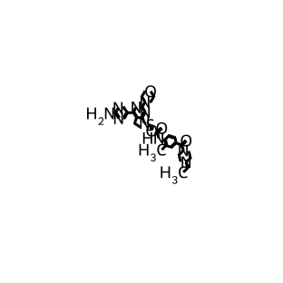 CCN1CCN(C(=O)c2ccc(NC(=O)OSN3CCc4c(-c5cnc(N)nc5)nc(N5CCOCC5)nc43)c(C)c2)CC1